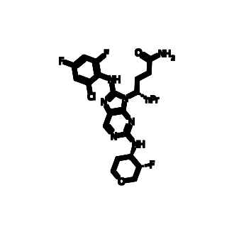 CCC[C@@H](CCC(N)=O)n1c(Nc2c(F)cc(F)cc2Cl)nc2cnc(N[C@@H]3CCOC[C@H]3F)nc21